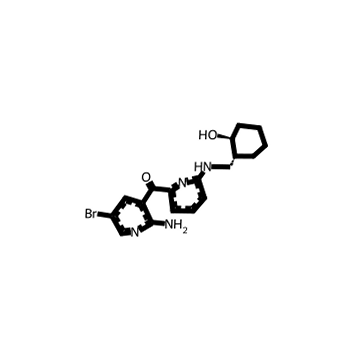 Nc1ncc(Br)cc1C(=O)c1cccc(NC[C@H]2CCCC[C@@H]2O)n1